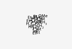 C=C/C(C(=C)Nc1cc(CC)c(CC)c(CC)c1)=C(\Nc1cc(CC)c(OC)c(CC)c1C)c1cc(CC)c(CC)c(CC)c1